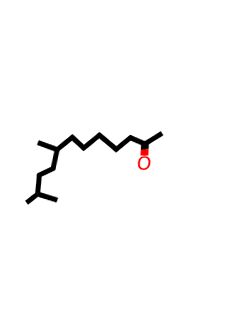 CC(=O)CCCCCC(C)CCC(C)C